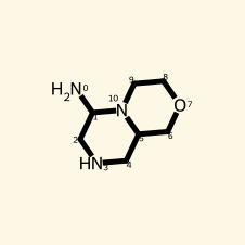 NC1CNCC2COCCN12